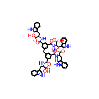 O=C(NC(Cc1c[nH]c2ccccc12)C(=O)O)c1cc(Cc2cc(C(=O)NC(Cc3c[nH]c4ccccc34)C(=O)O)cc(C(=O)NC(Cc3c[nH]c4ccccc34)C(=O)O)c2)cc(C(=O)NC(Cc2c[nH]c3ccccc23)C(=O)O)c1